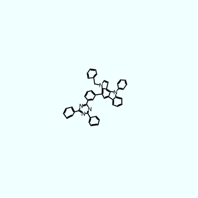 c1ccc(Cn2ccc3c2c(-c2cccc(-c4nc(-c5ccccc5)nc(-c5ccccc5)n4)c2)cc2c4ccccc4n(-c4ccccc4)c23)cc1